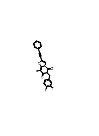 CC1=C2OC(C#Cc3ccccc3)=CN2C(=O)C(Cc2ccc(F)c(F)c2)C1=O